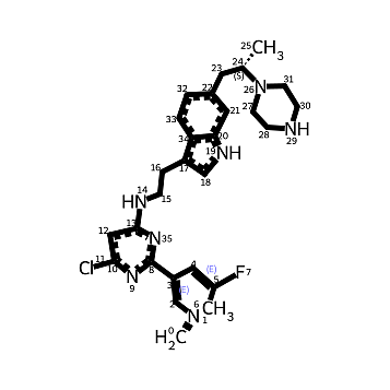 C=N/C=C(\C=C(/C)F)c1nc(Cl)cc(NCCc2c[nH]c3cc(C[C@H](C)N4CCNCC4)ccc23)n1